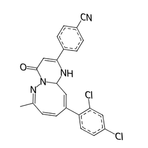 CC1=NN2C(=O)C=C(c3ccc(C#N)cc3)NC2C=C(c2ccc(Cl)cc2Cl)C=C1